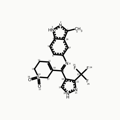 Cc1n[nH]c2ccc(/N=C(\C3=CCCS(=O)(=O)C3)c3c[nH]nc3C(F)(F)F)cc12